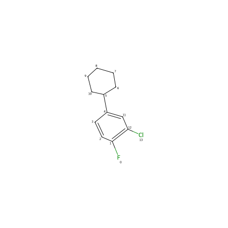 Fc1ccc(C2CCCCC2)cc1Cl